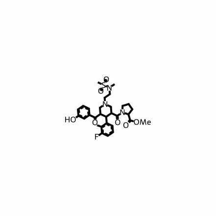 COC(=O)C1CCCN1C(=O)C1CN(CCN(C)S(C)(=O)=O)CC(C(=O)c2cccc(O)c2)C1c1cccc(F)c1C